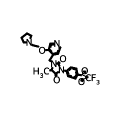 CC1C(=O)N(c2ccc(S(=O)(=O)C(F)(F)F)cc2)C(=O)N1Cc1ccncc1OCCN1CCCC1